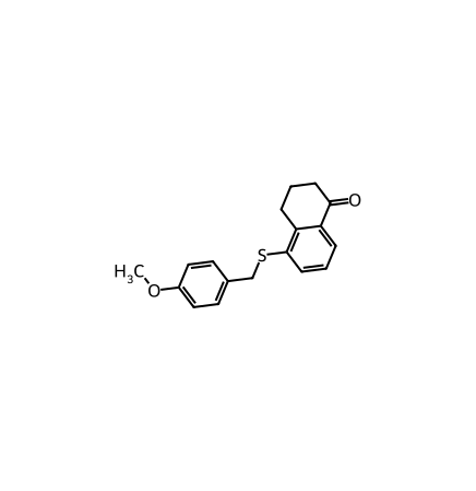 COc1ccc(CSc2cccc3c2CCCC3=O)cc1